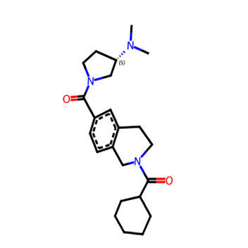 CN(C)[C@H]1CCN(C(=O)c2ccc3c(c2)CCN(C(=O)C2CCCCC2)C3)C1